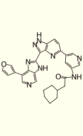 O=C(CC1CCCCC1)Nc1cncc(-c2ccc3[nH]nc(-c4nc5c(-c6ccoc6)cncc5[nH]4)c3n2)c1